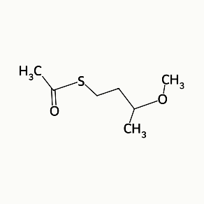 COC(C)CCSC(C)=O